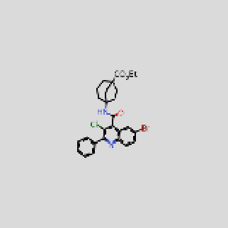 CCOC(=O)C12CCCC(NC(=O)c3c(Cl)c(-c4ccccc4)nc4ccc(Br)cc34)(CC1)CC2